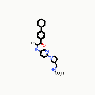 CCC(Nc1ccc(N2CCC(CNC(=O)O)C2)nc1)C(=O)c1ccc(C2CCCCC2)cc1